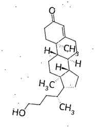 C[C@H](CCCO)[C@H]1CC[C@H]2[C@@H]3CCC4=CC(=O)CC[C@]4(C)[C@H]3CC[C@]12C